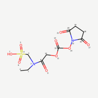 CCN(CS(=O)(=O)O)C(=O)COC(=O)ON1C(=O)CCC1=O